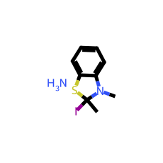 CN1c2ccccc2SC1(C)I.N